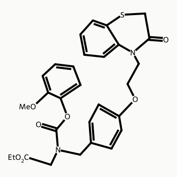 CCOC(=O)CN(Cc1ccc(OCCN2C(=O)CSc3ccccc32)cc1)C(=O)Oc1ccccc1OC